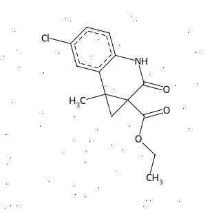 CCOC(=O)C12CC1(C)c1cc(Cl)ccc1NC2=O